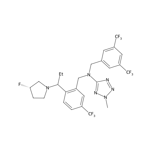 CCC(c1ccc(C(F)(F)F)cc1CN(Cc1cc(C(F)(F)F)cc(C(F)(F)F)c1)c1nnn(C)n1)N1CC[C@H](F)C1